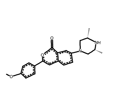 COc1ccc(-c2cc3ccc(N4C[C@@H](C)N[C@@H](C)C4)cc3c(=O)o2)cc1